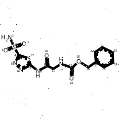 NS(=O)(=O)c1nnc(NC(=O)CNC(=O)OCc2ccccc2)s1